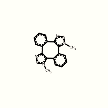 Cn1nnc2c1-c1ccccc1-c1c(nnn1C)-c1ccccc1-2